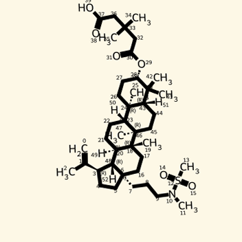 C=C(C)[C@@H]1CC[C@]2(CCCN(C)S(C)(=O)=O)CC[C@]3(C)[C@H](CC[C@@H]4[C@@]5(C)CC[C@H](OC(=O)CC(C)(C)CC(=O)O)C(C)(C)[C@@H]5CC[C@]43C)[C@@H]12